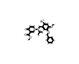 COC(=O)c1cn(N(Cc2cc(OCc3ccccc3)c(OC)cc2Br)C(C)C)ccc1=O